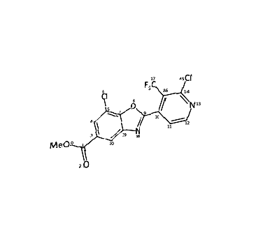 COC(=O)c1cc(Cl)c2oc(-c3ccnc(Cl)c3C(F)(F)F)nc2c1